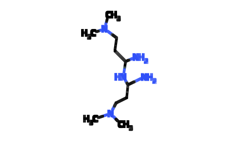 CN(C)CCC(N)NC(N)CCN(C)C